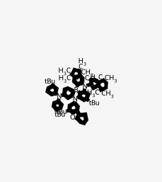 Cc1cc2c(cc1N1c3cc4c(cc3B3c5ccc(N(c6ccc(C(C)(C)C)cc6)c6cccc(C(C)(C)C)c6)cc5N(c5cc(C(C)(C)C)c6oc7ccccc7c6c5)c5cc(C(C)(C)C)cc1c53)C(C)(C)CC4(C)C)C(C)(C)CCC2(C)C